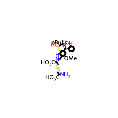 CCCC[C@]1(CC)C(O)Sc2cc(CN[C@@H](CSSCC(N)C(=O)O)C(=O)O)c(OC)cc2[C@@H](c2ccccc2)N1O